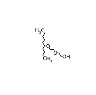 CCCCCC(CCCC)OCCOCCO